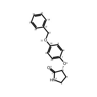 O=C1NCC[C@H]1Oc1ccc(OCc2ccccc2)cc1